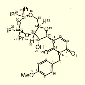 COc1ccc(Cn2c(=O)ccn([C@@H]3O[C@@H]4CO[Si](C(C)C)(C(C)C)O[Si](C(C)C)(C(C)C)O[C@H]4[C@H]3O)c2=O)cc1